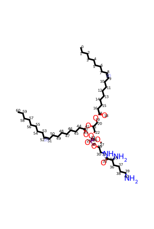 CCCCCCCC/C=C\CCCCCCCC(=O)OCC(COP(=O)(OC)OCCNC(=O)C(N)CCCCN)OC(=O)CCCCCCC/C=C\CCCCCCCC